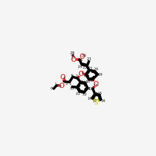 CCOC(=O)CCC(Oc1cc(OCc2ccsc2)ccc1C(C)=CC(=O)OC)c1ccccc1C